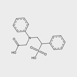 O=C(O)CN(CC(c1ccccc1)S(=O)(=O)O)c1ccccc1